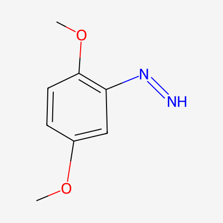 COc1ccc(OC)c(N=N)c1